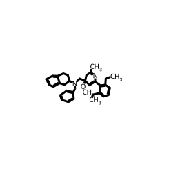 CCc1cccc(CC)c1C1=CC(CN(Cc2ccccc2)C2CCc3ccccc3C2)(OC)CC(C)=N1